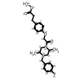 COC(=O)CCc1ccc(OCC(=O)N2CC(C)N(Cc3ccc(F)cc3)CC2C)cc1